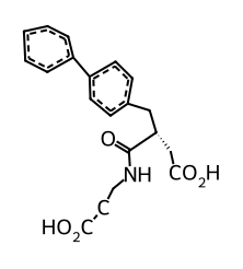 O=C(O)CCNC(=O)[C@@H](CC(=O)O)Cc1ccc(-c2ccccc2)cc1